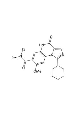 CCN(CC)C(=O)c1cc2[nH]c(=O)c3cnc(C4CCCCC4)n3c2cc1OC